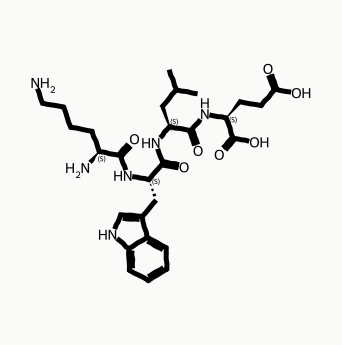 CC(C)C[C@H](NC(=O)[C@H](Cc1c[nH]c2ccccc12)NC(=O)[C@@H](N)CCCCN)C(=O)N[C@@H](CCC(=O)O)C(=O)O